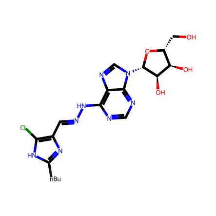 CCCCc1nc(/C=N/Nc2ncnc3c2ncn3[C@@H]2O[C@H](CO)[C@@H](O)[C@H]2O)c(Cl)[nH]1